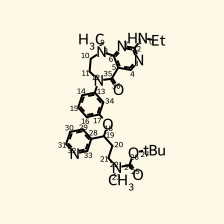 CCNc1ncc2c(n1)N(C)CCN(c1cccc(OC(CCN(C)C(=O)OC(C)(C)C)c3cccnc3)c1)C2=O